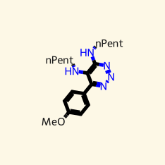 CCCCCNc1nnnc(-c2ccc(OC)cc2)c1NCCCCC